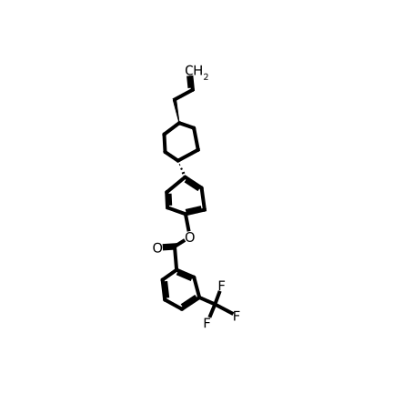 C=CC[C@H]1CC[C@H](c2ccc(OC(=O)c3cccc(C(F)(F)F)c3)cc2)CC1